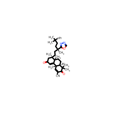 CCCC(C)(C)CC[C@@](C)(CC[C@]1(C)CC(=O)C=C2[C@@]3(C)C=C(C#N)C(=O)C(C)(C)[C@@H]3CC[C@]21C)c1nnco1